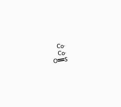 O=S.[Co].[Co]